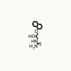 NC(=S)NCC(O)COc1cccc2ccccc12